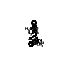 CC(=O)C/C(C/C(C)=N/N(Cc1ccccc1)[Si](C)(C)C)=N\N(Cc1ccccc1)[Si](C)(C)C